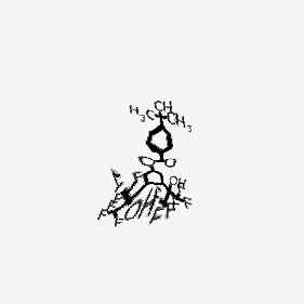 CC(C)(C)c1ccc(C(=O)OC2CC(C(O)(C(F)(F)F)C(F)(F)F)CC(C(O)(C(F)(F)F)C(F)(F)F)C2)cc1